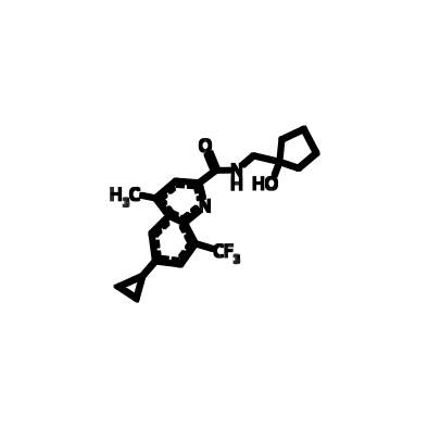 Cc1cc(C(=O)NCC2(O)CCCC2)nc2c(C(F)(F)F)cc(C3CC3)cc12